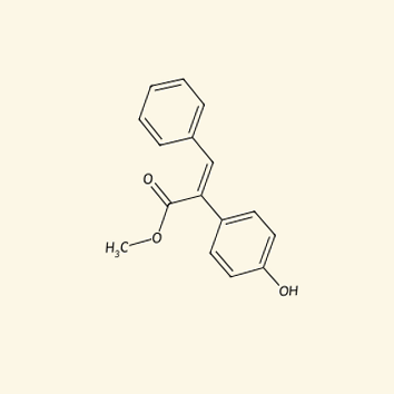 COC(=O)C(=Cc1ccccc1)c1ccc(O)cc1